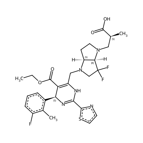 CCOC(=O)C1=C(CN2CC(F)(F)[C@H]3[C@@H]2CCN3C[C@H](C)C(=O)O)NC(c2nccs2)=N[C@H]1c1cccc(F)c1C